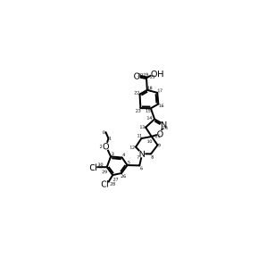 CCOc1cc(CN2CCC3(CC2)CC(c2ccc(C(=O)O)cc2)=NO3)cc(Cl)c1Cl